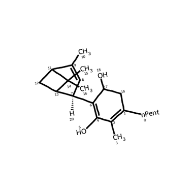 CCCCCC1=C(C)C(O)=C([C@@H]2C=C(C)C3CC2C3(C)C)C(O)C1